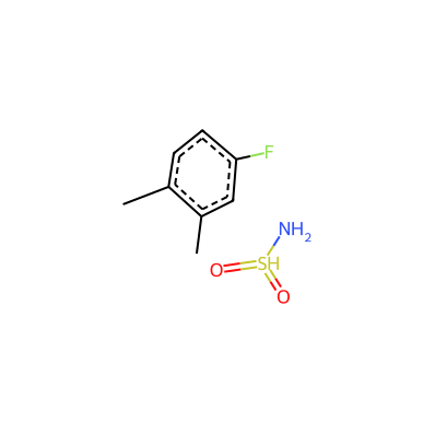 Cc1ccc(F)cc1C.N[SH](=O)=O